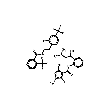 Cc1nn(C)c(F)c1C(=O)Nc1ccccc1C(C)CC(C)C.O=C(NCCc1ncc(C(F)(F)F)cc1Cl)c1ccccc1C(F)(F)F